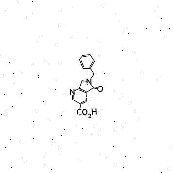 O=C(O)c1cnc2c(c1)C(=O)N(Cc1ccccc1)C2